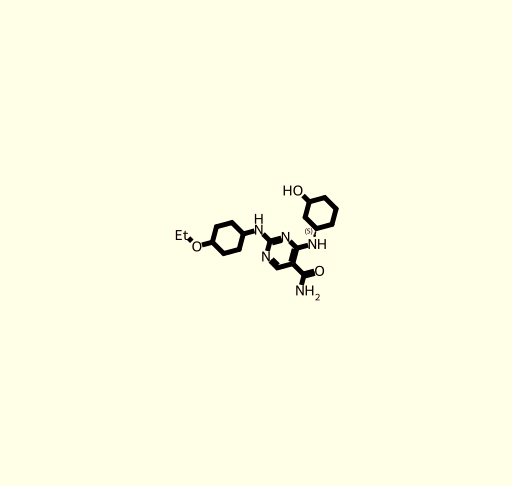 CCOC1CCC(Nc2ncc(C(N)=O)c(N[C@H]3CCCC(O)C3)n2)CC1